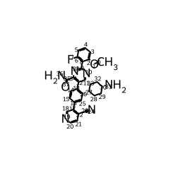 COc1cccc(F)c1-c1ncc(-c2ccc(-c3cnccc3C#N)cc2[C@H]2CC[C@@H](N)CC2)c(C(N)=O)n1